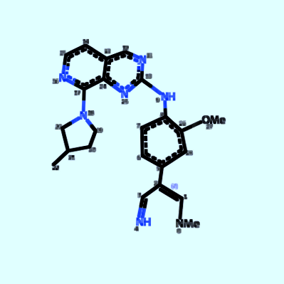 CN/C=C(\C=N)c1ccc(Nc2ncc3ccnc(N4CCC(C)C4)c3n2)c(OC)c1